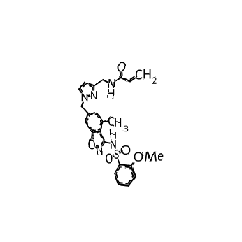 C=CC(=O)NCc1ccn(Cc2cc(C)c3c(NS(=O)(=O)c4ccccc4OC)noc3c2)n1